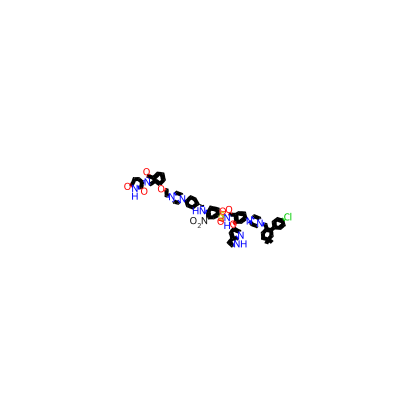 CC1(C)CCC(CN2CCN(c3ccc(C(=O)NS(=O)(=O)c4ccc(NC[C@H]5CC[C@H](N6CCN(CCOc7cccc8c7CN(C7CCC(=O)NC7=O)C8=O)CC6)CC5)c([N+](=O)[O-])c4)c(Oc4cnc5[nH]ccc5c4)c3)CC2)=C(c2ccc(Cl)cc2)C1